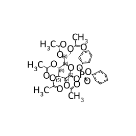 CC(=O)OC[C@@H](OC(C)=O)[C@H]1O[C@@H](OP(=O)(Oc2ccccc2)Oc2ccccc2)[C@@H](OC(C)=O)[C@@H](OC(C)=O)[C@@H]1OC(C)=O